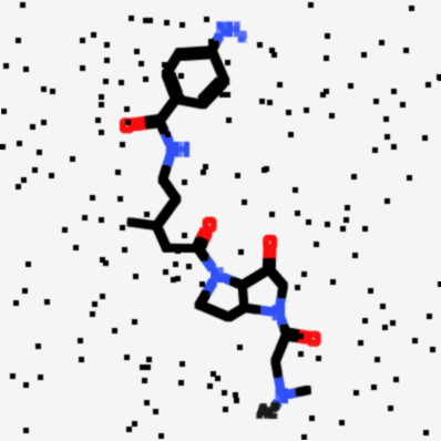 CC(=O)N(C)CC(=O)N1CC(=O)C2C1CCN2C(=O)CC(C)CCNC(=O)c1ccc(N)cc1